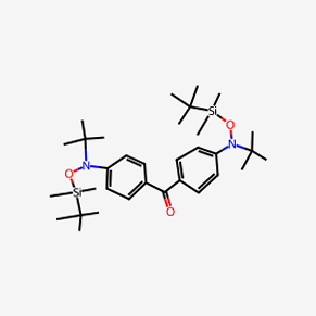 CC(C)(C)N(O[Si](C)(C)C(C)(C)C)c1ccc(C(=O)c2ccc(N(O[Si](C)(C)C(C)(C)C)C(C)(C)C)cc2)cc1